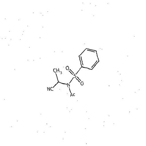 CC(=O)N(C(C)C#N)S(=O)(=O)c1ccccc1